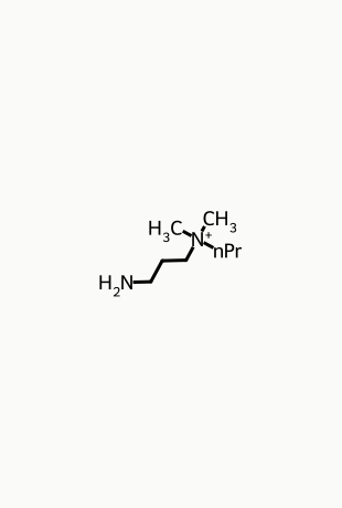 CCC[N+](C)(C)CCCN